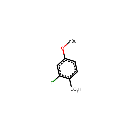 CCCCOc1ccc(C(=O)O)c(F)c1